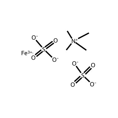 C[N+](C)(C)C.O=S(=O)([O-])[O-].O=S(=O)([O-])[O-].[Fe+3]